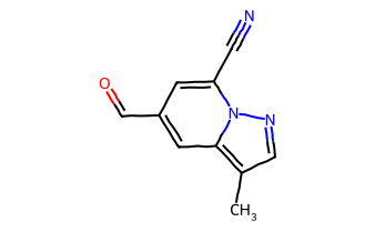 Cc1cnn2c(C#N)cc(C=O)cc12